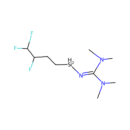 CN(C)C(=N[SiH2]CCC(F)C(F)F)N(C)C